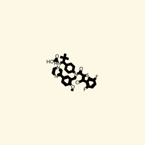 COc1ccc(-c2cnccn2)cc1CN(C(=O)c1sc2c(F)ccc(F)c2c1Cl)C1CCC(C(NC(=O)O)C(C)(C)C)CC1